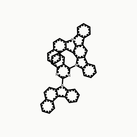 c1ccc2c(c1)ccc1c2c2ccccc2n1-c1nc(-n2c3ccccc3c3cc4c5ccccc5n5c6ccc7ccccc7c6c(c32)c45)c2ccccc2n1